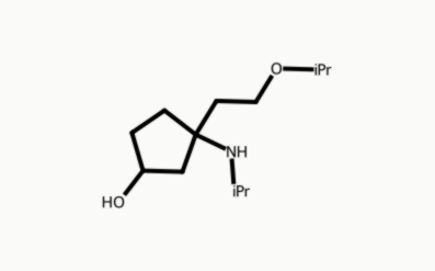 CC(C)NC1(CCOC(C)C)CCC(O)C1